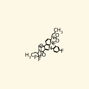 CCC(NC(=O)c1cn(-c2ccc(F)cc2F)c2nc(N3CC(C)OC3=O)ccc2c1=O)C(F)(F)F